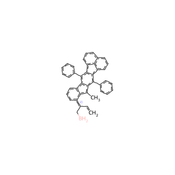 BC/C(C=C)=c1\cccc2c1c(C)c1c(-c3ccccc3)c3c4cccc5cccc(c3c(-c3ccccc3)c12)c54